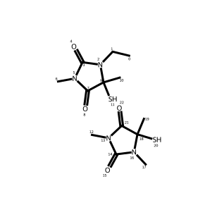 CCN1C(=O)N(C)C(=O)C1(C)S.CN1C(=O)N(C)C(C)(S)C1=O